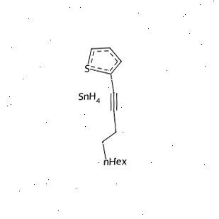 CCCCCCCCC#Cc1cccs1.[SnH4]